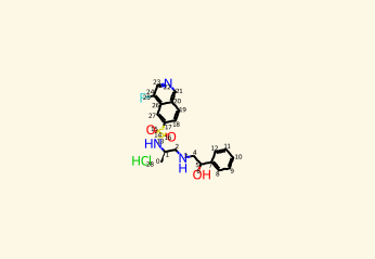 C[C@H](CNCC(O)c1ccccc1)NS(=O)(=O)c1ccc2cncc(F)c2c1.Cl